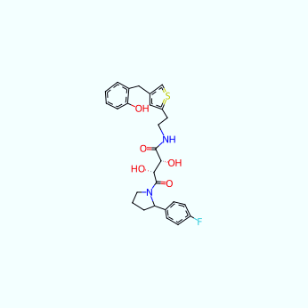 O=C(NCCc1cc(Cc2ccccc2O)cs1)[C@H](O)[C@@H](O)C(=O)N1CCCC1c1ccc(F)cc1